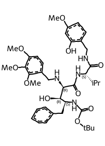 COc1ccc(CNC(=O)[C@@H](NC(=O)[C@H](NCc2ccc(OC)c(OC)c2OC)[C@H](O)[C@H](Cc2ccccc2)NC(=O)OC(C)(C)C)C(C)C)c(O)c1